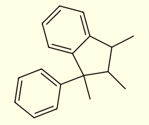 CC1c2ccccc2C(C)(c2ccccc2)C1C